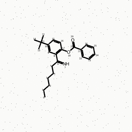 CCCCCCC(=N)c1cc(C(C)(C)C)ccc1OC(=O)c1ccccc1